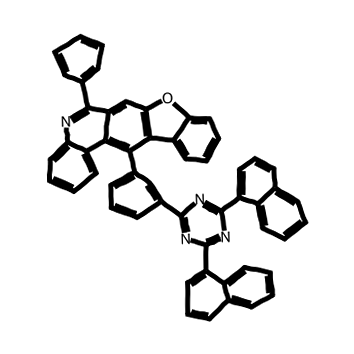 c1ccc(-c2nc3ccccc3c3c(-c4cccc(-c5nc(-c6cccc7ccccc67)nc(-c6cccc7ccccc67)n5)c4)c4c(cc23)oc2ccccc24)cc1